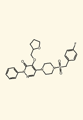 O=c1c(OCC2CCCO2)c(N2CCN(S(=O)(=O)Cc3ccc(F)cc3)CC2)cnn1-c1ccccc1